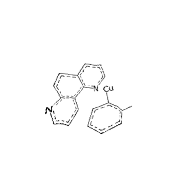 Cc1cccc[c]1[Cu].c1cnc2c(c1)ccc1ncccc12